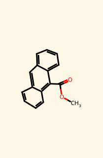 COC(=O)c1c2ccccc2cc2ccccc12